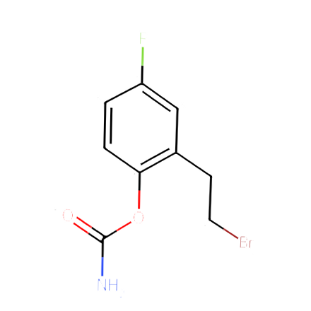 NC(=O)Oc1ccc(F)cc1CCBr